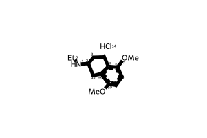 CCNC1CCc2c(OC)ccc(OC)c2C1.Cl